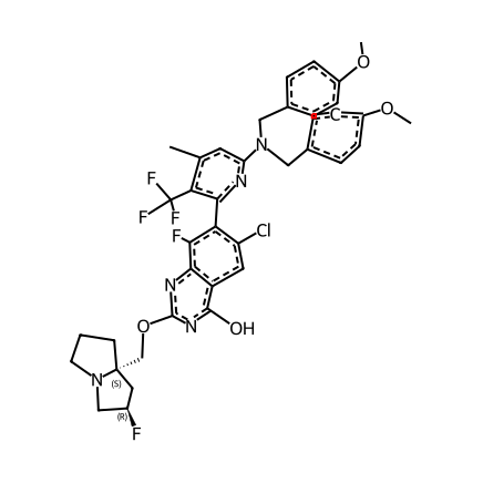 COc1ccc(CN(Cc2ccc(OC)cc2)c2cc(C)c(C(F)(F)F)c(-c3c(Cl)cc4c(O)nc(OC[C@@]56CCCN5C[C@H](F)C6)nc4c3F)n2)cc1